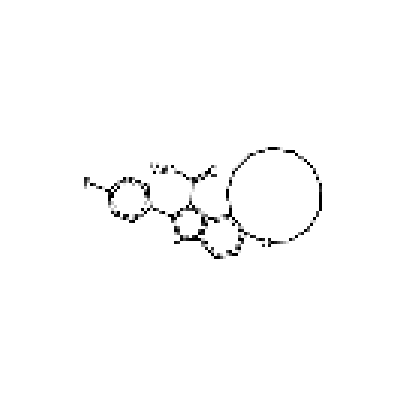 CNC(=O)c1c(-c2ccc(F)cc2)oc2ccc3c(c12)CCCCCCCCCCO3